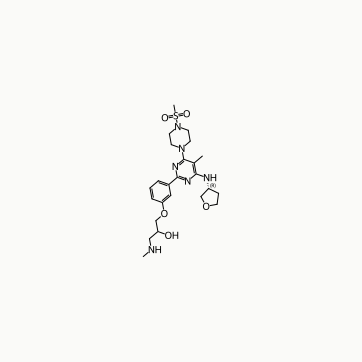 CNCC(O)COc1cccc(-c2nc(N[C@@H]3CCOC3)c(C)c(N3CCN(S(C)(=O)=O)CC3)n2)c1